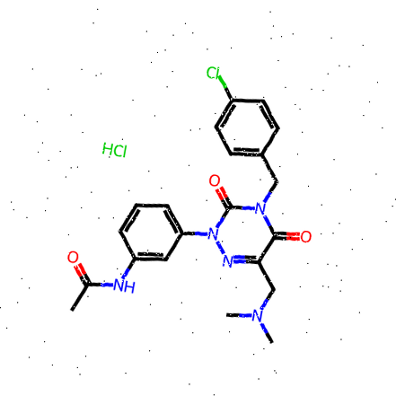 CC(=O)Nc1cccc(-n2nc(CN(C)C)c(=O)n(Cc3ccc(Cl)cc3)c2=O)c1.Cl